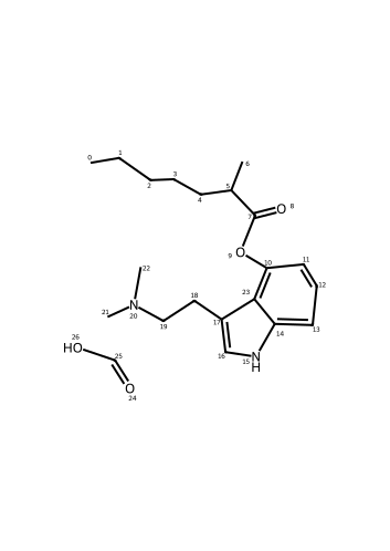 CCCCCC(C)C(=O)Oc1cccc2[nH]cc(CCN(C)C)c12.O=CO